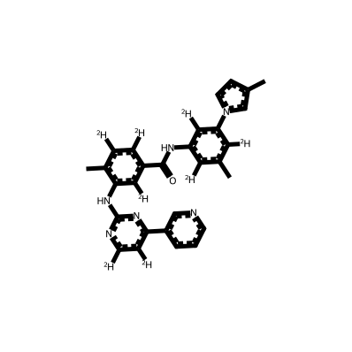 [2H]c1nc(Nc2c([2H])c(C(=O)Nc3c([2H])c(C)c([2H])c(-n4ccc(C)c4)c3[2H])c([2H])c([2H])c2C)nc(-c2cccnc2)c1[2H]